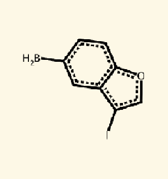 Bc1ccc2occ(I)c2c1